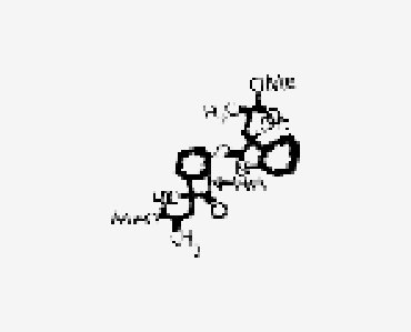 C=C(CC1(O)C(=O)N(NN2C(=O)C(O)(CC(=C)C(=O)OC)c3ccccc32)c2ccccc21)C(=O)OC